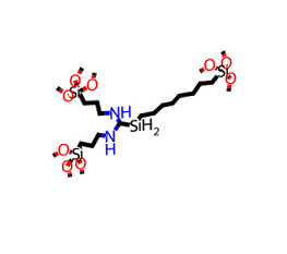 CO[Si](CCCCCCCC[SiH2]C(NCCC[Si](OC)(OC)OC)NCCC[Si](OC)(OC)OC)(OC)OC